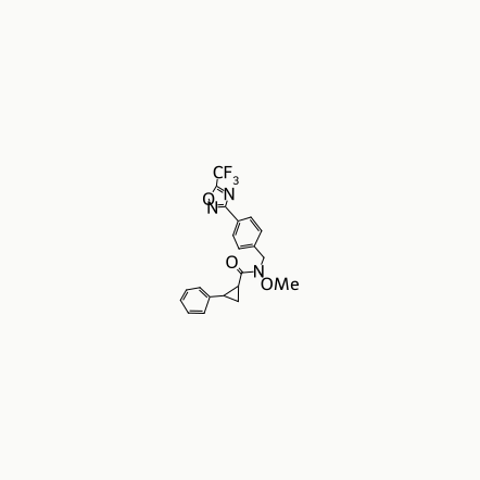 CON(Cc1ccc(-c2noc(C(F)(F)F)n2)cc1)C(=O)C1CC1c1ccccc1